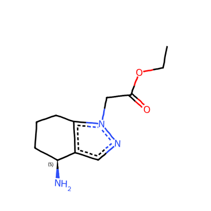 CCOC(=O)Cn1ncc2c1CCC[C@@H]2N